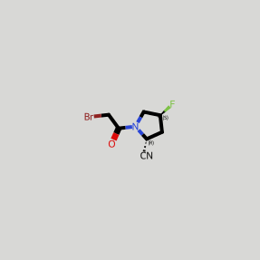 N#C[C@H]1C[C@H](F)CN1C(=O)CBr